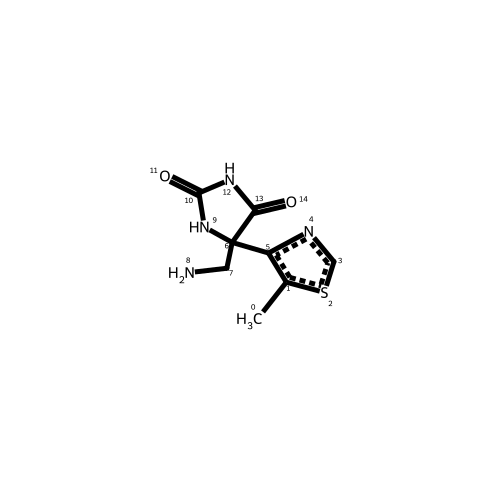 Cc1scnc1C1(CN)NC(=O)NC1=O